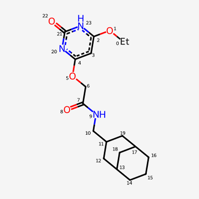 CCOc1cc(OCC(=O)NCC2CC3CCCC(C3)C2)nc(=O)[nH]1